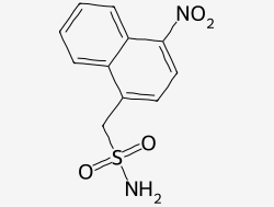 NS(=O)(=O)Cc1ccc([N+](=O)[O-])c2ccccc12